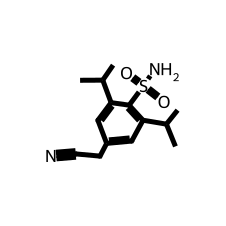 CC(C)c1cc(CC#N)cc(C(C)C)c1S(N)(=O)=O